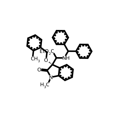 CCOC(=O)C(NC(c1ccccc1)c1ccccc1)[C@]1(OCc2ccccc2C)C(=O)N(C)c2ccccc21